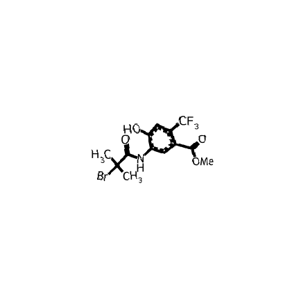 COC(=O)c1cc(NC(=O)C(C)(C)Br)c(O)cc1C(F)(F)F